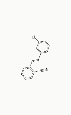 N#Cc1ccccc1/C=C/c1cccc(Cl)c1